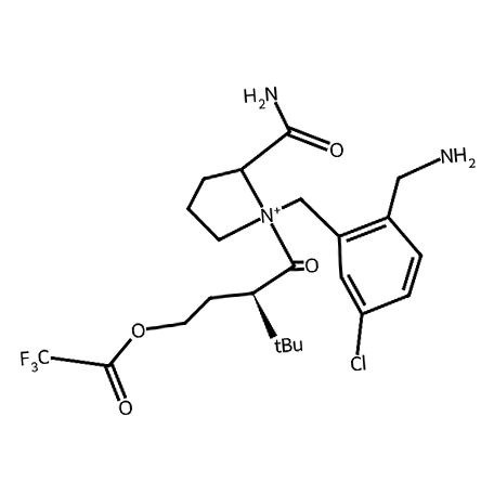 CC(C)(C)[C@@H](CCOC(=O)C(F)(F)F)C(=O)[N+]1(Cc2cc(Cl)ccc2CN)CCCC1C(N)=O